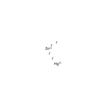 [Hg+2].[I-].[I-].[I-].[I-].[Zn+2]